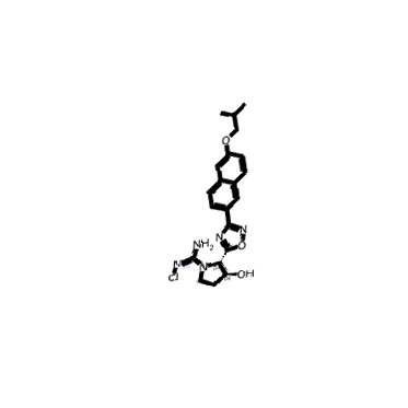 CC(C)COc1ccc2cc(-c3noc([C@@H]4[C@@H](O)CCN4/C(N)=N\Cl)n3)ccc2c1